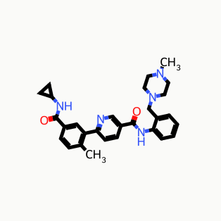 Cc1ccc(C(=O)NC2CC2)cc1-c1ccc(C(=O)Nc2ccccc2CN2CCN(C)CC2)cn1